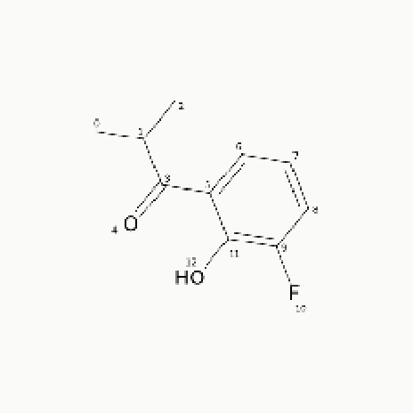 CC(C)C(=O)c1cccc(F)c1O